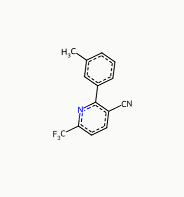 Cc1cccc(-c2nc(C(F)(F)F)ccc2C#N)c1